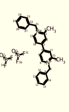 Cc1cc(-c2cc[n+](Cc3ccccc3)c(C)c2)cc[n+]1Cc1ccccc1.[O-]B(F)F.[O-]B(F)F